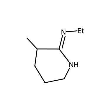 CCN=C1NCCCC1C